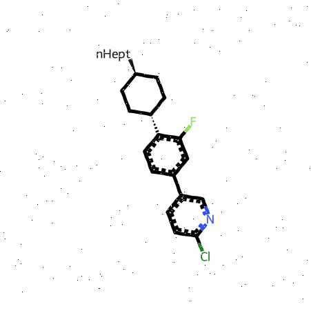 CCCCCCC[C@H]1CC[C@H](c2ccc(-c3ccc(Cl)nc3)cc2F)CC1